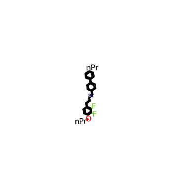 CCCOc1ccc(CC/C=C/C2CC=C(c3ccc(CCC)cc3)CC2)c(F)c1F